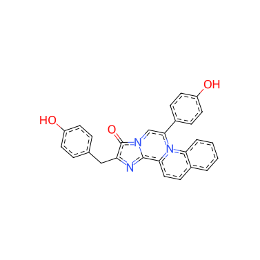 O=c1c(Cc2ccc(O)cc2)nc2c3ccc4ccccc4n3c(-c3ccc(O)cc3)cn1-2